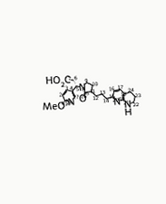 COc1ccc([C@H](CC(=O)O)N2CCC(CCCc3ccc4c(n3)NCCC4)C2=O)cn1